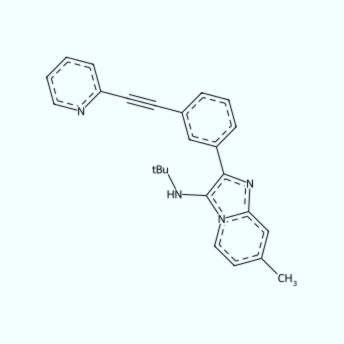 Cc1ccn2c(NC(C)(C)C)c(-c3cccc(C#Cc4ccccn4)c3)nc2c1